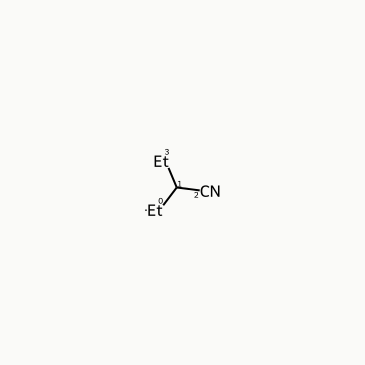 C[CH]C(C#N)CC